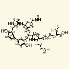 CNCCC[C@H](NC(=O)[C@@H]1Cc2cc(ccc2O)-c2ccc(O)c(c2)C[C@H](NC)C(=O)N[C@@H](CCCNC)C(=O)N1)C(=O)NCCCC[C@@H](CO)NC